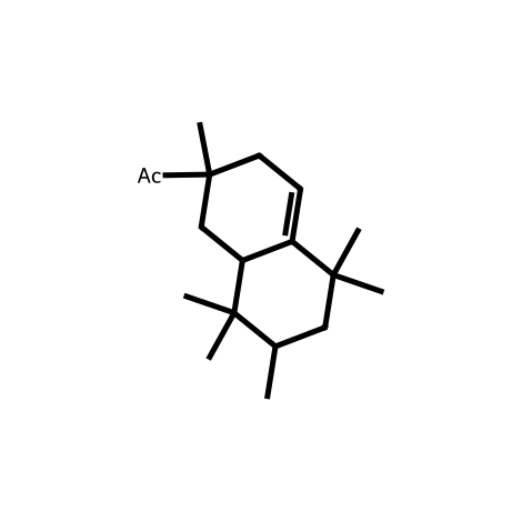 CC(=O)C1(C)CC=C2C(C1)C(C)(C)C(C)CC2(C)C